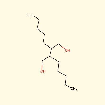 CCCCCC(CO)C(CO)CCCCC